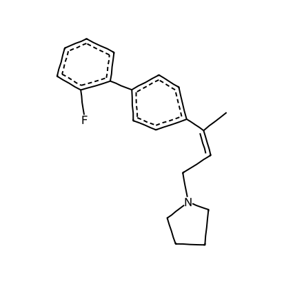 C/C(=C/CN1CCCC1)c1ccc(-c2ccccc2F)cc1